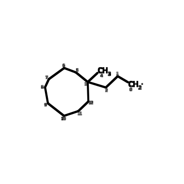 [CH2]CCC1(C)CCCCCCCC1